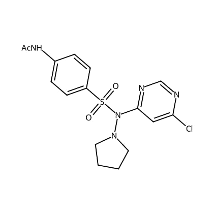 CC(=O)Nc1ccc(S(=O)(=O)N(c2cc(Cl)ncn2)N2CCCC2)cc1